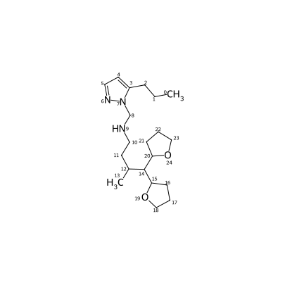 CCCc1ccnn1CNCCC(C)C(C1CCCO1)C1CCCO1